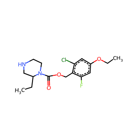 CCOc1cc(F)c(COC(=O)N2CCNCC2CC)c(Cl)c1